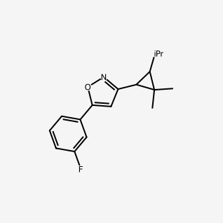 CC(C)C1C(c2cc(-c3cccc(F)c3)on2)C1(C)C